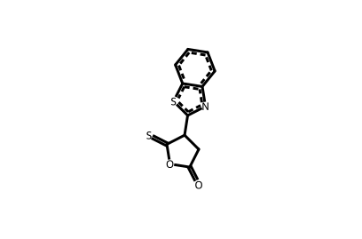 O=C1CC(c2nc3ccccc3s2)C(=S)O1